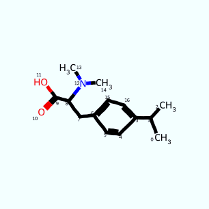 CC(C)c1ccc(CC(C(=O)O)N(C)C)cc1